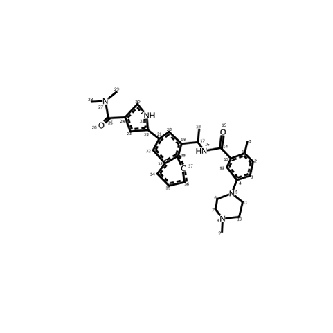 Cc1ccc(N2CCN(C)CC2)cc1C(=O)NC(C)c1cc(-c2cc(C(=O)N(C)C)c[nH]2)cc2ccccc12